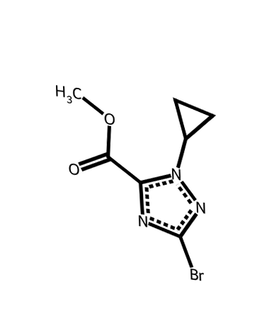 COC(=O)c1nc(Br)nn1C1CC1